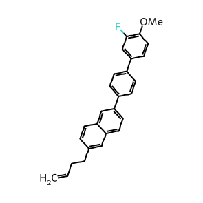 C=CCCc1ccc2cc(-c3ccc(-c4ccc(OC)c(F)c4)cc3)ccc2c1